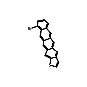 Brc1cccc2cc3cc4cc5ccsc5cc4cc3cc12